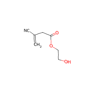 C=C(C#N)CC(=O)OCCO